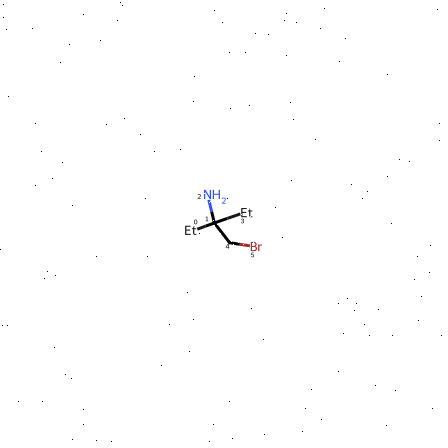 CCC(N)(CC)CBr